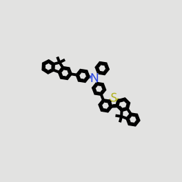 CC1(C)c2ccccc2-c2ccc(-c3ccc(N(c4ccccc4)c4ccc(-c5cccc6c5sc5ccc7c(c56)C(C)(C)c5ccccc5-7)cc4)cc3)cc21